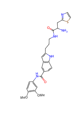 COc1ccc(NC(=O)c2ccc3[nH]c(CCCNC(=O)C(N)Cc4nccs4)cc3c2)cc1OC